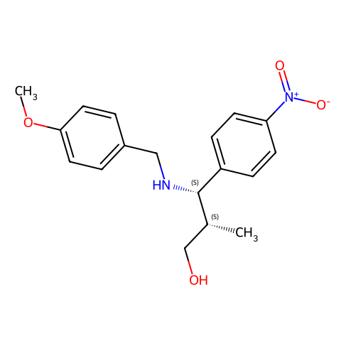 COc1ccc(CN[C@H](c2ccc([N+](=O)[O-])cc2)[C@H](C)CO)cc1